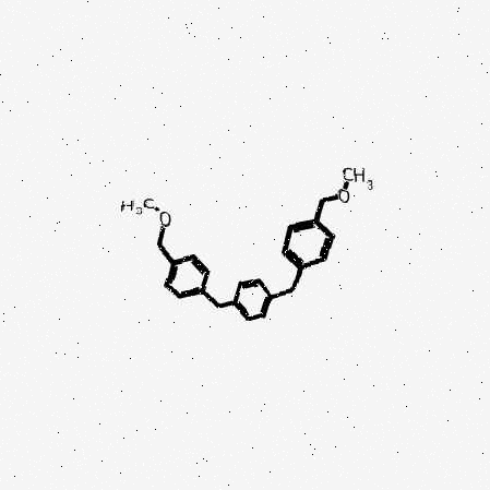 COCc1ccc(Cc2ccc(Cc3ccc(COC)cc3)cc2)cc1